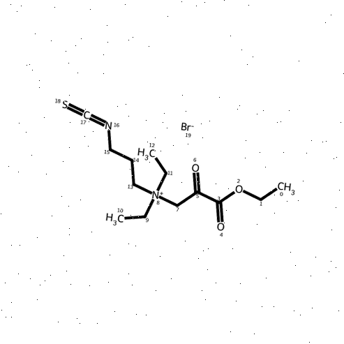 CCOC(=O)C(=O)C[N+](CC)(CC)CCCN=C=S.[Br-]